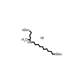 CCCCCCCCCCCCCCCCCCCCNC(C)CCCCCCCCCCCCC.I